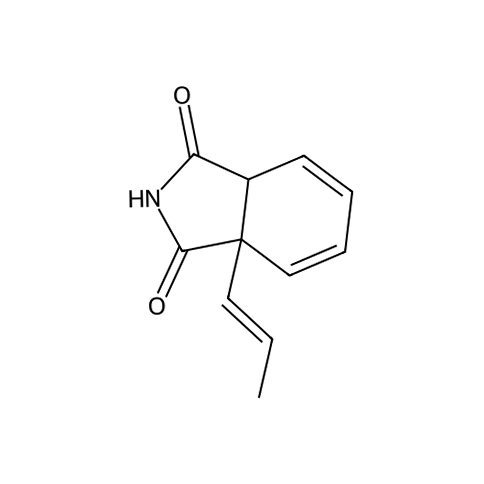 CC=CC12C=CC=CC1C(=O)NC2=O